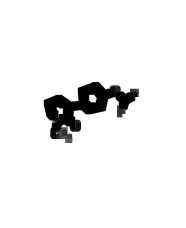 Cn1cccc(-c2ccc(OC(F)F)cc2)c1=O